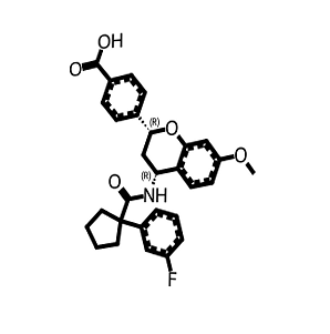 COc1ccc2c(c1)O[C@@H](c1ccc(C(=O)O)cc1)C[C@H]2NC(=O)C1(c2cccc(F)c2)CCCC1